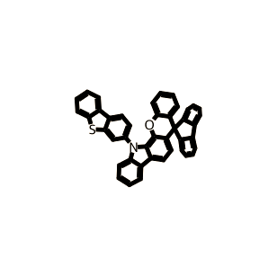 c1ccc2c(c1)Oc1c(ccc3c4ccccc4n(-c4ccc5c(c4)sc4ccccc45)c13)C21c2ccccc2-c2ccccc21